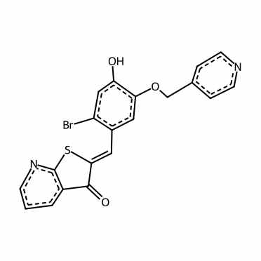 O=C1/C(=C/c2cc(OCc3ccncc3)c(O)cc2Br)Sc2ncccc21